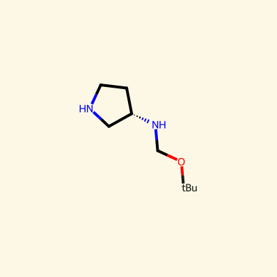 CC(C)(C)OCN[C@H]1CCNC1